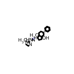 CN1CCN=C1N/N=C/[C@H]1CC[C@]2(O)C[C@@H](c3ccccc3)CC[C@]12C